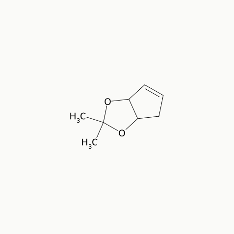 CC1(C)OC2C=CCC2O1